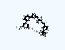 C[C@@H]1CN(c2nc(-c3csc(NC(=S)CNC(=O)c4ccn(C5(C)COC5)c4)n3)ccc2F)C[C@H](C)O1